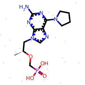 C[C@H](Cn1cnc2c(N3CCCC3)nc(N)nc21)OCP(=O)(O)O